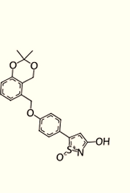 CC1(C)OCc2c(COc3ccc(-c4cc(O)n[s+]4[O-])cc3)cccc2O1